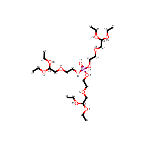 CCOC(COCCOP(=O)(OCCOCC(OCC)OCC)OCCOCC(OCC)OCC)OCC